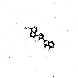 COc1nccc2c(-n3ncc(-c4nc(=O)c5c(C(F)(F)F)nccc5[nH]4)c3C(F)(F)F)cccc12